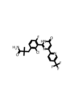 CC(C)(Cc1ccc(F)c(-c2nc(-c3ccc(C(F)(F)F)cn3)cc(=O)[nH]2)c1Cl)C(N)=O